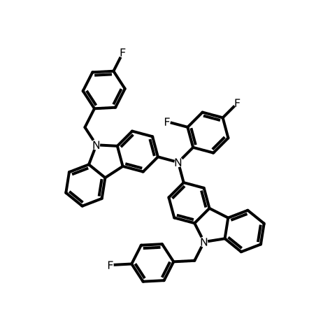 Fc1ccc(Cn2c3ccccc3c3cc(N(c4ccc5c(c4)c4ccccc4n5Cc4ccc(F)cc4)c4ccc(F)cc4F)ccc32)cc1